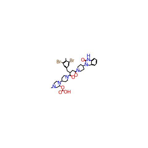 Cc1c(Br)cc(CC(CC(=O)N2CCC(N3Cc4ccccc4NC3=O)CC2)C(=O)N2CCC(N3CCN(C)CC3OC(=O)O)CC2)cc1Br